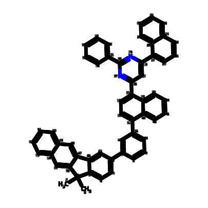 CC1(C)c2ccc(-c3cccc(-c4ccc(-c5cc(-c6cccc7ccccc67)nc(-c6ccccc6)n5)c5ccccc45)c3)cc2-c2cc3ccccc3cc21